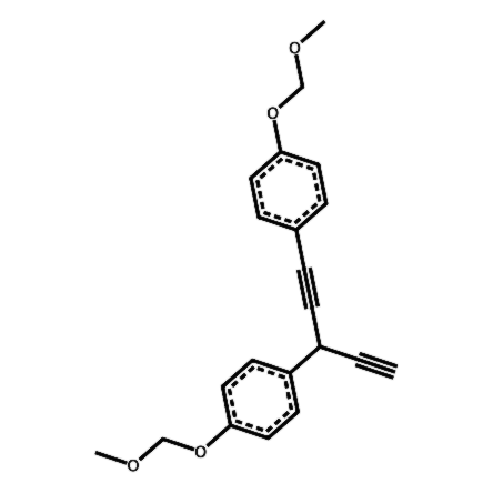 C#CC(C#Cc1ccc(OCOC)cc1)c1ccc(OCOC)cc1